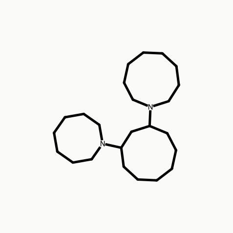 C1CCCCN(C2CCCCCCC(N3CCCCCCC3)C2)CCC1